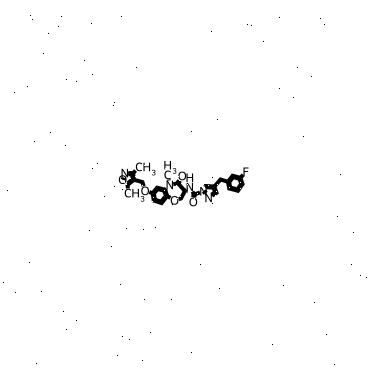 Cc1noc(C)c1COc1ccc2c(c1)N(C)C(=O)[C@@H](NC(=O)n1cc(Cc3cccc(F)c3)cn1)CO2